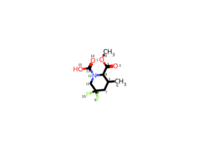 COC(=O)C1C(C)CC(F)(F)CN1C(=O)O